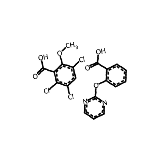 COc1c(Cl)cc(Cl)c(Cl)c1C(=O)O.O=C(O)c1ccccc1Oc1ncccn1